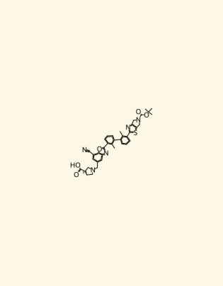 Cc1c(-c2nc3cc(CN4CC[C@@H](C(=O)O)C4)cc(C#N)c3o2)cccc1-c1cccc(-c2nc3c(s2)CN(C(=O)OC(C)(C)C)C3)c1C